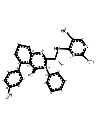 C[C@@H](Nc1nc(N)ncc1C#N)c1nc2cccc(-c3ccc(C#N)cc3)c2c(=O)n1-c1ccccc1